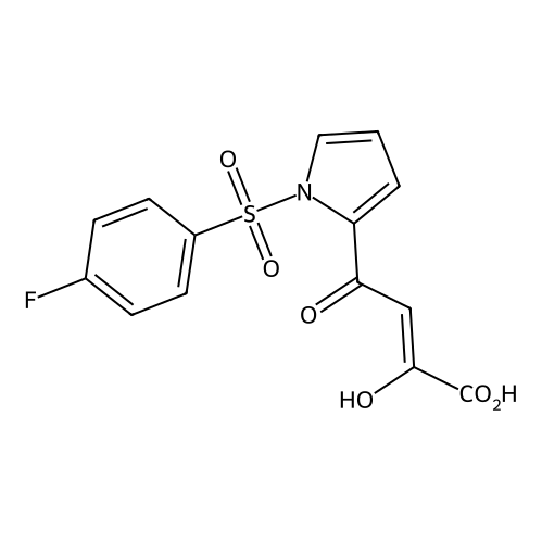 O=C(O)C(O)=CC(=O)c1cccn1S(=O)(=O)c1ccc(F)cc1